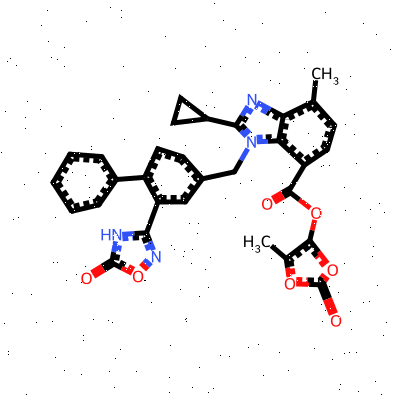 Cc1oc(=O)oc1OC(=O)c1ccc(C)c2nc(C3CC3)n(Cc3ccc(-c4ccccc4)c(-c4noc(=O)[nH]4)c3)c12